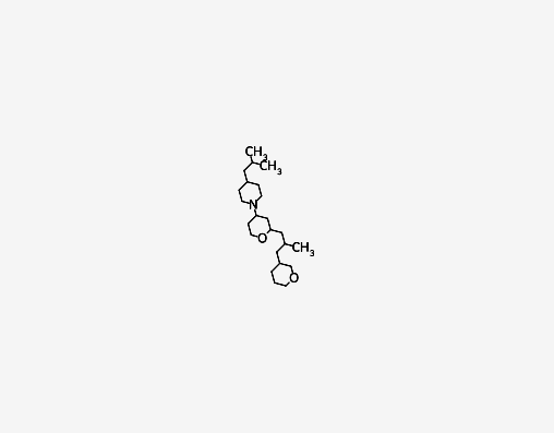 CC(C)CC1CCN(C2CCOC(CC(C)CC3CCCOC3)C2)CC1